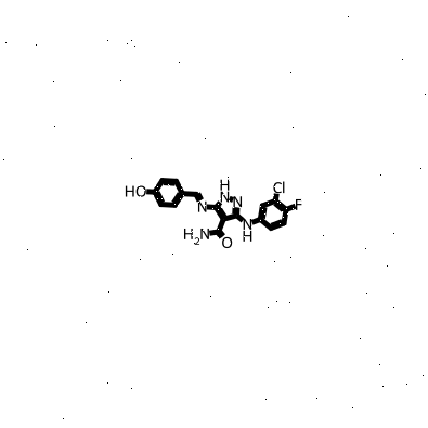 NC(=O)c1c(Nc2ccc(F)c(Cl)c2)n[nH]c1N=Cc1ccc(O)cc1